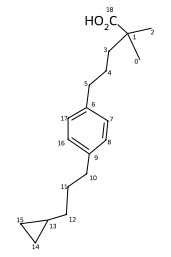 CC(C)(CCCc1ccc(CCCC2CC2)cc1)C(=O)O